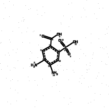 Nc1cc(C(=O)O)c(S(=O)(=O)O)cc1N